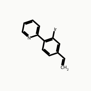 C=Cc1ccc(-c2ccccn2)[c]([Ir])c1